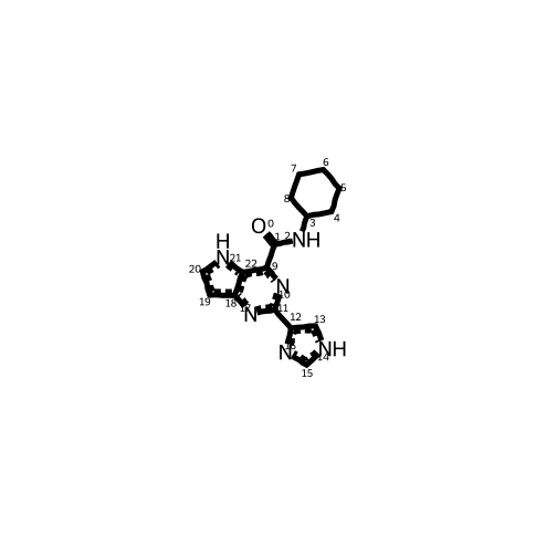 O=C(NC1CCCCC1)c1nc(-c2c[nH]cn2)nc2cc[nH]c12